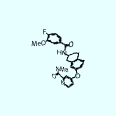 CNC(=O)c1cc(Oc2ccc3c(c2)CC(NC(=O)c2ccc(F)c(OC)c2)CC3)ccn1